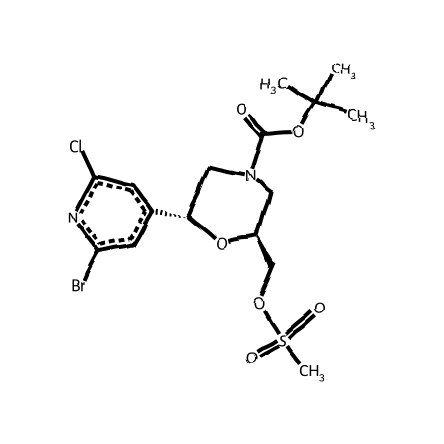 CC(C)(C)OC(=O)N1C[C@@H](COS(C)(=O)=O)O[C@H](c2cc(Cl)nc(Br)c2)C1